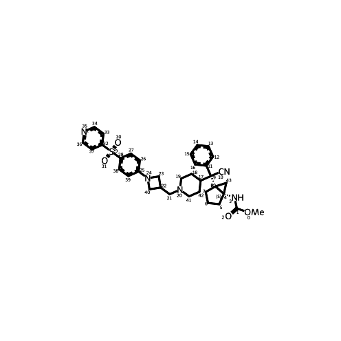 COC(=O)N[C@]12CCC[C@@]1(C(C#N)(c1ccccc1)C1CCN(CC3CN(c4ccc(S(=O)(=O)c5ccncc5)cc4)C3)CC1)C2